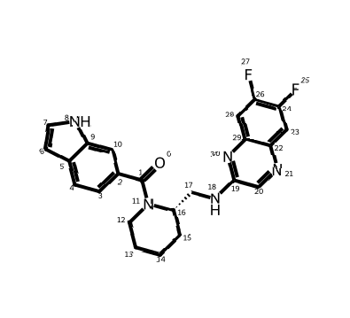 O=C(c1ccc2cc[nH]c2c1)N1CCCC[C@H]1CNc1cnc2cc(F)c(F)cc2n1